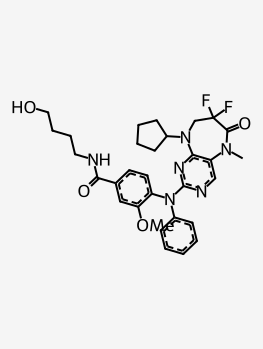 COc1cc(C(=O)NCCCCO)ccc1N(c1ccccc1)c1ncc2c(n1)N(C1CCCC1)CC(F)(F)C(=O)N2C